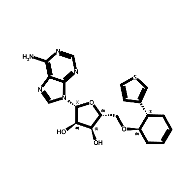 Nc1ncnc2c1ncn2[C@@H]1O[C@H](CO[C@@H]2CC=CC[C@H]2c2ccsc2)[C@@H](O)[C@H]1O